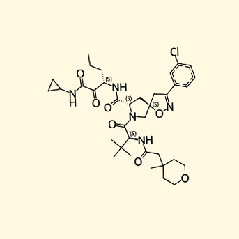 CCC[C@H](NC(=O)[C@@H]1C[C@]2(CC(c3cccc(Cl)c3)=NO2)CN1C(=O)[C@@H](NC(=O)CC1(C)CCOCC1)C(C)(C)C)C(=O)C(=O)NC1CC1